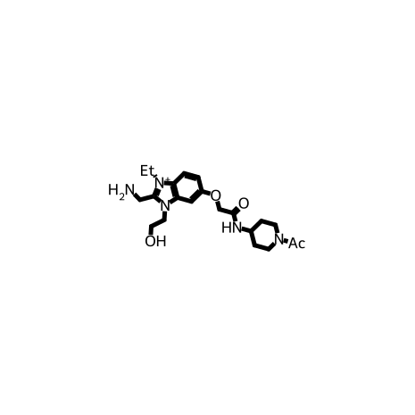 CC[n+]1c(CN)n(CCO)c2cc(OCC(=O)NC3CCN(C(C)=O)CC3)ccc21